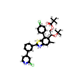 Cc1cc2nc(-c3cccc(-c4ccnc(Cl)c4)c3)sc2c(-c2ccc(Cl)cc2)c1[C@@H](COC(=O)C(C)(C)C)OC(C)(C)C